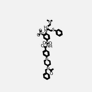 CC(=O)N(Cc1ccccc1)C1CCN(c2ccc(C(=O)NS(=O)(=O)c3ccc(N[C@H](CCN(C)C)CSc4ccccc4)c([N+](=O)[O-])c3)cc2)CC1